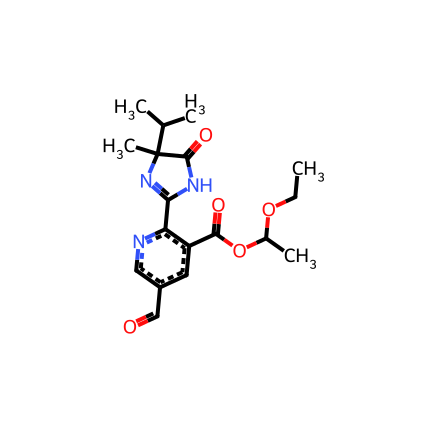 CCOC(C)OC(=O)c1cc(C=O)cnc1C1=NC(C)(C(C)C)C(=O)N1